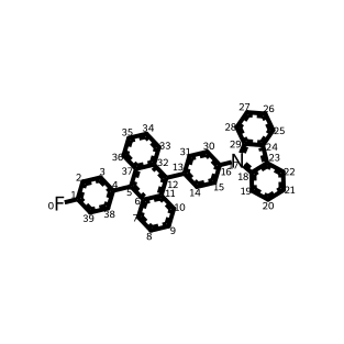 Fc1ccc(-c2c3ccccc3c(-c3ccc(-n4c5ccccc5c5ccccc54)cc3)c3ccccc23)cc1